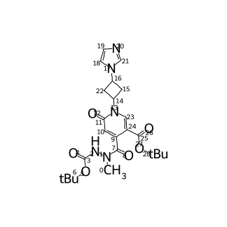 CN(NC(=O)OC(C)(C)C)C(=O)c1cc(=O)n(C2CC(n3ccnc3)C2)cc1C(=O)OC(C)(C)C